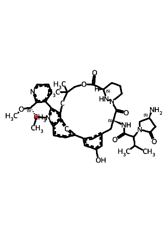 CCn1c(-c2cccnc2[C@H](C)OC)c2c3cc(ccc31)-c1cc(O)cc(c1)C[C@H](NC(=O)C(C(C)C)N1C[C@@H](N)CC1=O)C(=O)N1CCC[C@H](N1)C(=O)OCC(C)(C)C2